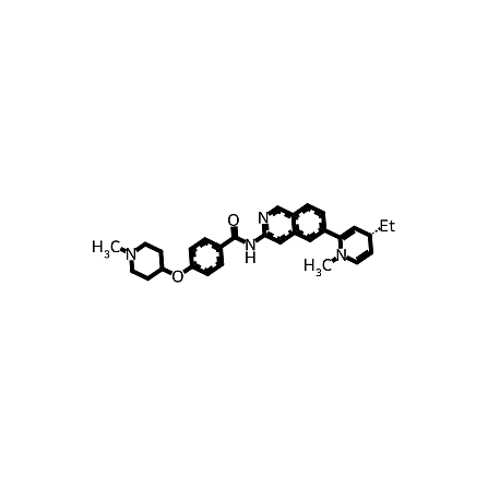 CC[C@@H]1C=CN(C)C(c2ccc3cnc(NC(=O)c4ccc(OC5CCN(C)CC5)cc4)cc3c2)=C1